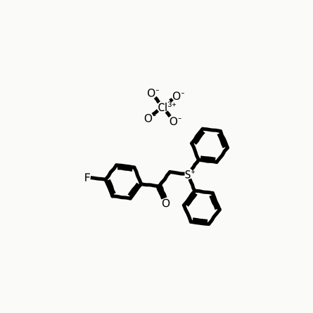 O=C(C[S+](c1ccccc1)c1ccccc1)c1ccc(F)cc1.[O-][Cl+3]([O-])([O-])[O-]